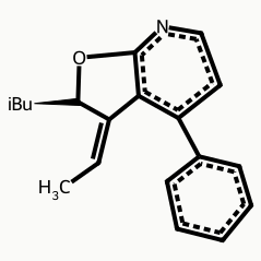 C/C=C1/c2c(-c3ccccc3)ccnc2OC1[C@H](C)CC